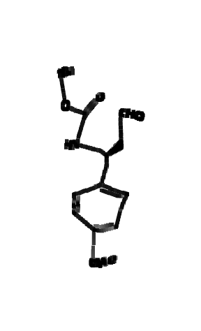 COc1ccc([C@H](CC=O)NC(=O)OC(C)(C)C)cc1